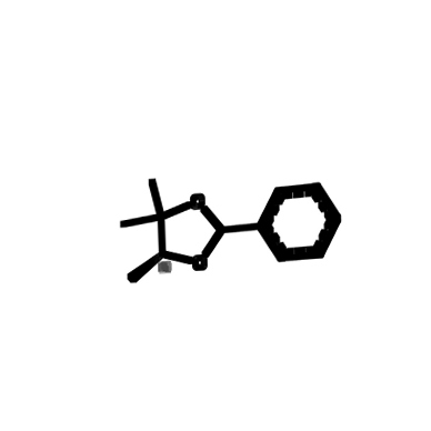 C[C@@H]1OC(c2ccccc2)OC1(C)C